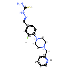 NC(=S)NN=Cc1ccc(N2CCN(Cc3ccccn3)CC2)c(F)c1